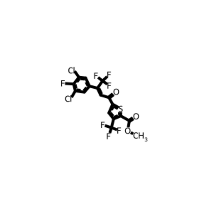 COC(=O)c1sc(C(=O)C=C(c2cc(Cl)c(F)c(Cl)c2)C(F)(F)F)cc1C(F)(F)F